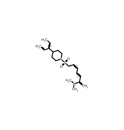 C=C/C(=C\C)C1CCN(S(=O)(=O)C/C=C\C=C\C(=C)N(C)C)CC1